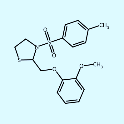 COc1ccccc1OCC1SCCN1S(=O)(=O)c1ccc(C)cc1